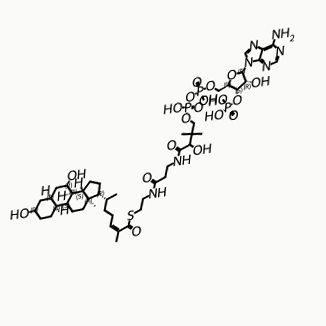 CC(=CCCC(C)[C@H]1CC[C@H]2[C@@H]3[C@H](O)C[C@@H]4C[C@H](O)CC[C@]4(C)[C@H]3CC[C@]12C)C(=O)SCCNC(=O)CCNC(=O)C(O)C(C)(C)COP(=O)(O)OP(=O)(O)OC[C@H]1O[C@@H](n2cnc3c(N)ncnc32)[C@H](O)[C@@H]1OP(=O)(O)O